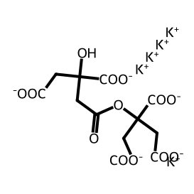 O=C([O-])CC(O)(CC(=O)OC(CC(=O)[O-])(CC(=O)[O-])C(=O)[O-])C(=O)[O-].[K+].[K+].[K+].[K+].[K+]